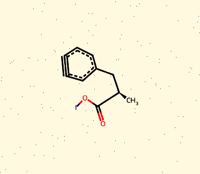 C[C@H](Cc1cc#ccc1)C(=O)OI